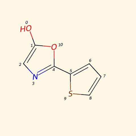 Oc1cnc(-c2cccs2)o1